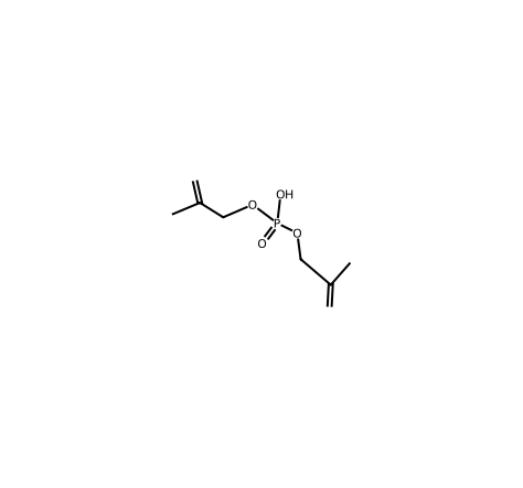 C=C(C)COP(=O)(O)OCC(=C)C